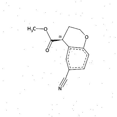 COC(=O)[C@H]1CCOc2ccc(C#N)cc21